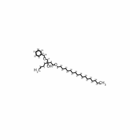 C=CCCC(O)(CCOCCCCCCCCCCCCCCCCCC)COCc1ccccc1